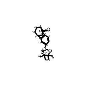 CC1(C)OB(c2ccc3c(c2)C2CCC(CC2)C3=O)OC1(C)C